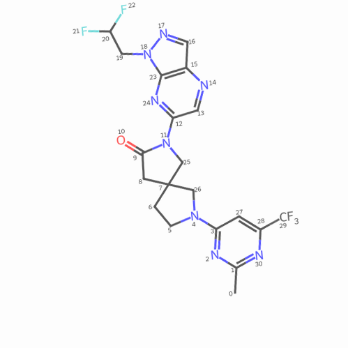 Cc1nc(N2CCC3(CC(=O)N(c4cnc5cnn(CC(F)F)c5n4)C3)C2)cc(C(F)(F)F)n1